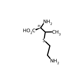 CC(SCCN)[C@H](N)C(=O)O